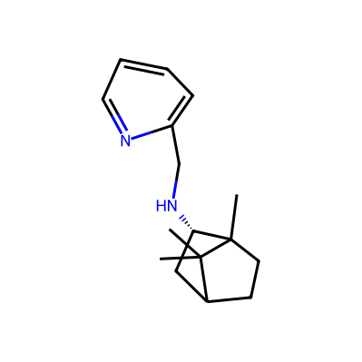 CC1(C)C2CCC1(C)[C@@H](NCc1ccccn1)C2